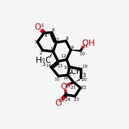 C[C@]12CCC(=O)C=C1C[C@@H](CO)C1C2=CC[C@@]2(C)C1CC[C@@]21CCC(=O)O1